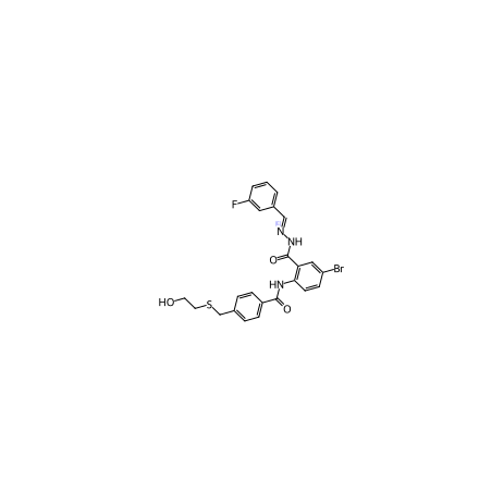 O=C(Nc1ccc(Br)cc1C(=O)N/N=C/c1cccc(F)c1)c1ccc(CSCCO)cc1